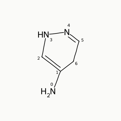 NC1=CNN=CC1